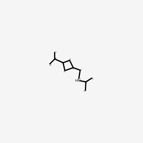 CC(C)NCC1CC(C(C)C)C1